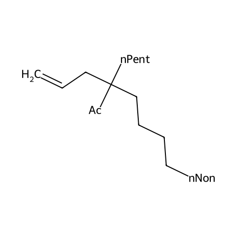 C=CCC(CCCCC)(CCCCCCCCCCCCC)C(C)=O